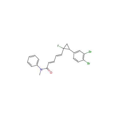 CN(C(=O)/C=C/C=C/C1(F)CC1c1ccc(Br)c(Br)c1)c1ccccc1